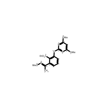 CCOC(=O)c1c(Oc2nc(OC)cc(OC)n2)cccc1C(C)=NOC